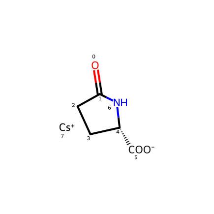 O=C1CC[C@@H](C(=O)[O-])N1.[Cs+]